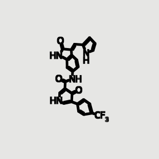 O=C1Nc2cc(NC(=O)c3c[nH]cc(-c4ccc(C(F)(F)F)cc4)c3=O)ccc2C1=Cc1ccc[nH]1